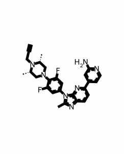 C#CCN1[C@H](C)CN(c2c(F)cc(-n3c(C)nc4ccc(-c5ccnc(N)c5)nc43)cc2F)C[C@@H]1C